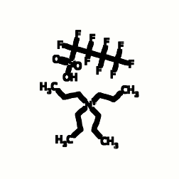 CCC[N+](CCC)(CCC)CCC.O=S(=O)(O)C(F)(F)C(F)(F)C(F)(F)C(F)(F)F